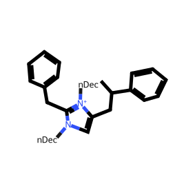 CCCCCCCCCCn1cc(CC(C)c2ccccc2)[n+](CCCCCCCCCC)c1Cc1ccccc1